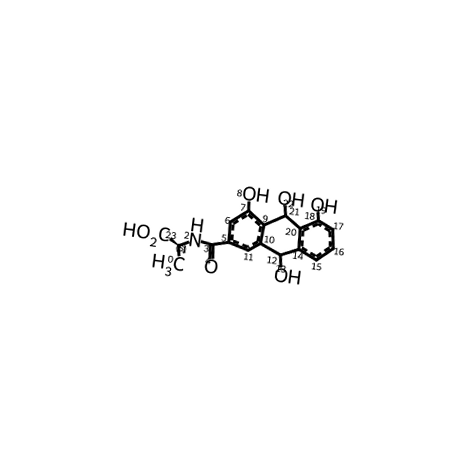 C[C@H](NC(=O)c1cc(O)c2c(c1)C(O)c1cccc(O)c1C2O)C(=O)O